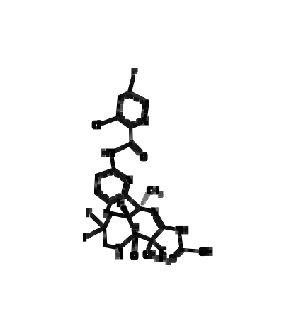 CC1(C)C(NC(=O)O)=N[C@](C)(c2nc(NC(=O)c3ncc(F)cc3Cl)ccc2F)[C@H]2CC(F)(F)CN[SH]21=O